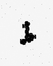 O=C1NC(=O)C(c2cn(CCOCCOCCNC3CCCc4ccccc43)c3ccccc23)=C1c1cn(CCNC2CCCc3ccccc32)c2ccccc12